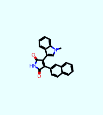 Cn1cc(C2=C(c3ccc4ccccc4c3)C(=O)NC2=O)c2ccccc21